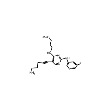 COCCCNc1nc(Nc2cccc(F)c2)ncc1C#CCCCN